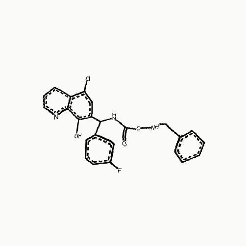 O=C(CNCc1ccccc1)NC(c1cccc(F)c1)c1cc(Cl)c2cccnc2c1O